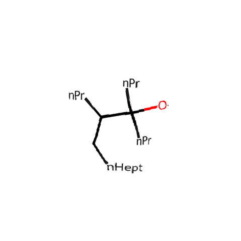 CCCCCCCCC(CCC)C([O])(CCC)CCC